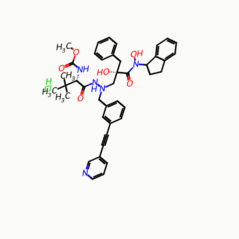 COC(=O)N[C@H](C(=O)NN(Cc1cccc(C#Cc2cccnc2)c1)C[C@@](O)(Cc1ccccc1)C(=O)N(O)C1CCc2ccccc21)C(C)(C)C.Cl